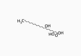 CCCCCCCCCCCCCC(O)CCCCC(O)CC(=O)O